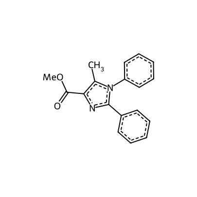 COC(=O)c1nc(-c2ccccc2)n(-c2ccccc2)c1C